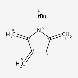 C=C1CC(=C)N(C(C)(C)C)C1=C